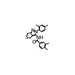 Cc1ccc(-n2nc3c(c2NC(=O)c2ccc(C)c(C)c2)CSC3)c(C)c1